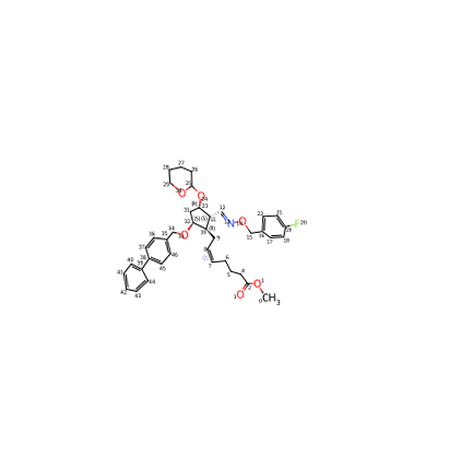 COC(=O)CCC/C=C\C[C@@H]1[C@@H](C=NOCc2ccc(F)cc2)[C@H](OC2CCCCO2)C[C@@H]1OCc1ccc(-c2ccccc2)cc1